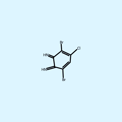 N=C1C(=N)C(Br)=C(Cl)C=C1Br